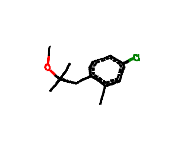 COC(C)(C)Cc1ccc(Cl)cc1C